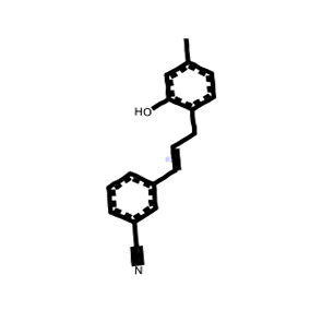 Cc1ccc(C/C=C/c2cccc(C#N)c2)c(O)c1